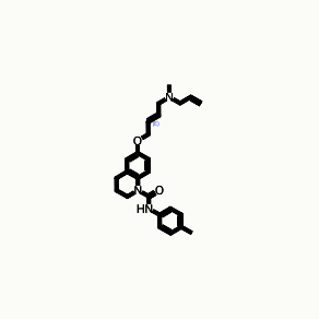 C=CCN(C)C/C=C/COc1ccc2c(c1)CCCN2C(=O)Nc1ccc(C)cc1